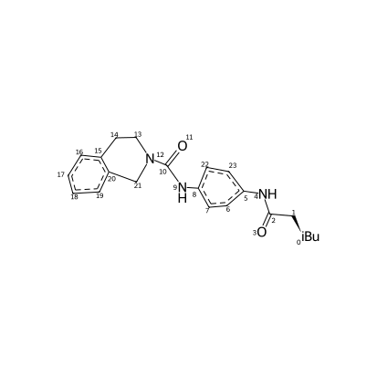 CC[C@H](C)CC(=O)Nc1ccc(NC(=O)N2CCc3ccccc3C2)cc1